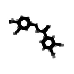 O=C(OCc1ccc(Br)c(F)c1)c1ccc(Br)c(F)c1